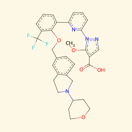 COc1c(C(=O)O)cnn1-c1cccc(-c2cccc(C(F)(F)F)c2OCc2ccc3c(c2)CCN(C2CCOCC2)C3)n1